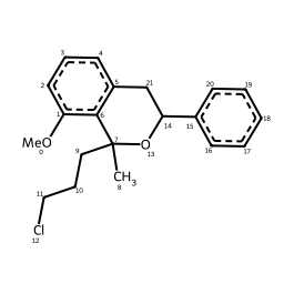 COc1cccc2c1C(C)(CCCCl)OC(c1ccccc1)C2